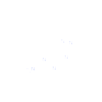 Cc1cn2cc(N)nc2c(Cn2cccn2)n1